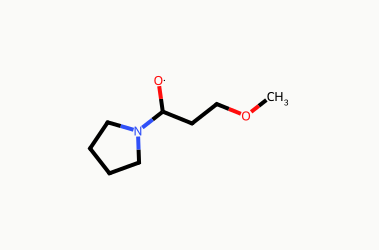 COCCC([O])N1CCCC1